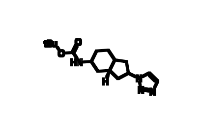 CC(C)(C)OC(=O)NC1CCC2CC(n3ccnn3)C[C@@H]2C1